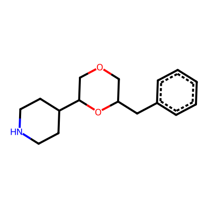 c1ccc(CC2COCC(C3CCNCC3)O2)cc1